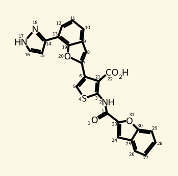 O=C(Nc1scc(-c2cc3cccc(-c4cc[nH]n4)c3o2)c1C(=O)O)c1cc2ccccc2o1